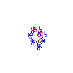 CC1=NN(c2ccc(S(N)(=O)=O)cc2)C(=O)/C1=C\C=C1\N(Cc2cccc(CN3/C(=C/C=C4\CN(c5ccc(S(N)(=O)=O)cc5)N=C4C)C(C)(C)c4ccccc43)c2)c2ccccc2C1(C)C